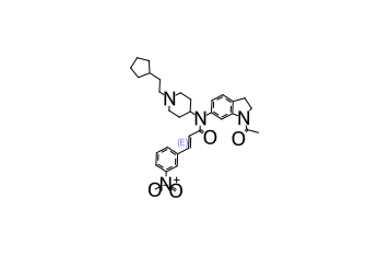 CC(=O)N1CCc2ccc(N(C(=O)/C=C/c3cccc([N+](=O)[O-])c3)C3CCN(CCC4CCCC4)CC3)cc21